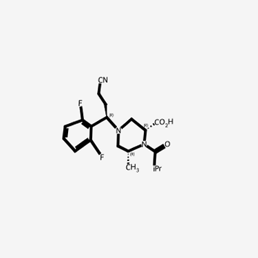 CC(C)C(=O)N1[C@H](C)CN([C@H](CCC#N)c2c(F)cccc2F)C[C@@H]1C(=O)O